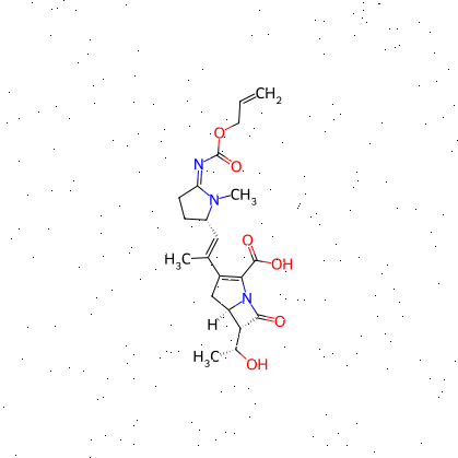 C=CCOC(=O)/N=C1/CC[C@@H](/C=C(\C)C2=C(C(=O)O)N3C(=O)[C@H]([C@@H](C)O)[C@H]3C2)N1C